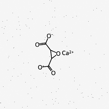 O=C([O-])C1OC1C(=O)[O-].[Ca+2]